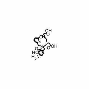 Nc1ccc(CC2CN(CC(=O)O)CCN(CC(=O)O)Cc3cccc(n3)CN2CC(=O)O)cc1